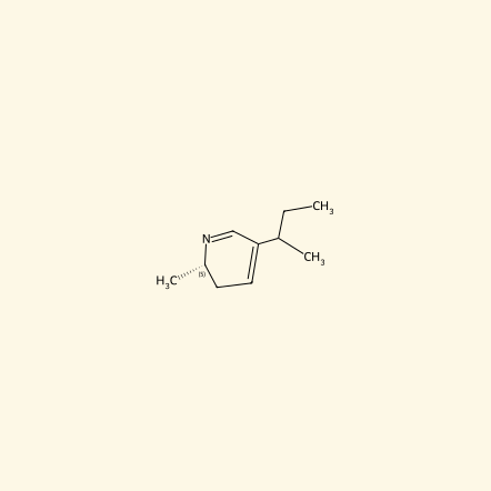 CCC(C)C1=CC[C@H](C)N=C1